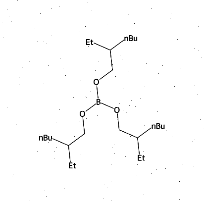 CCCCC(CC)COB(OCC(CC)CCCC)OCC(CC)CCCC